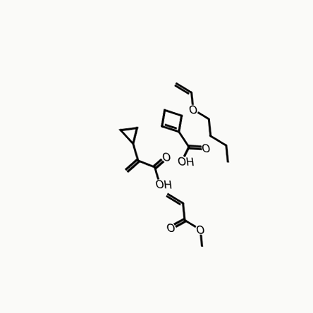 C=C(C(=O)O)C1CC1.C=CC(=O)OC.C=COCCCC.O=C(O)C1=CCC1